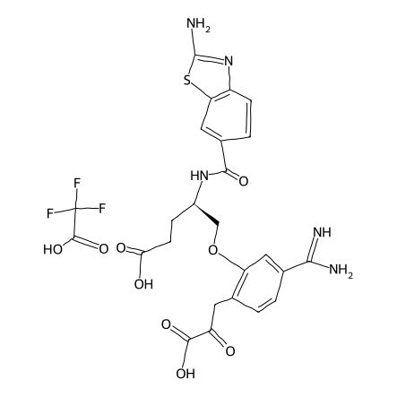 N=C(N)c1ccc(CC(=O)C(=O)O)c(OC[C@@H](CCC(=O)O)NC(=O)c2ccc3nc(N)sc3c2)c1.O=C(O)C(F)(F)F